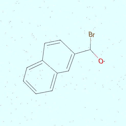 [O]C(Br)c1ccc2ccccc2c1